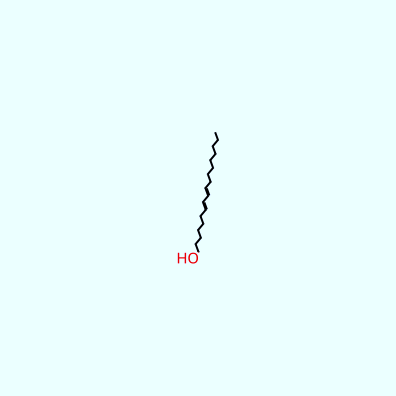 CCCCCCCCC=CC=CCCCCCCO